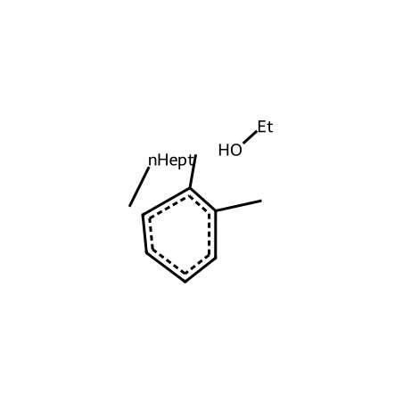 CCCCCCCC.CCO.Cc1ccccc1C